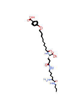 CCCCNC(=O)[C@@H](N)CCCCNC(=O)CC[C@H](NC(=O)CCCCCCCCCOc1ccc(C(=O)O)cc1)C(=O)O